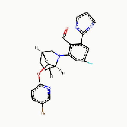 O=Cc1c(-c2ncccn2)cc(F)cc1N1C[C@@H]2CC[C@H]1[C@H](Oc1ccc(Br)cn1)C2